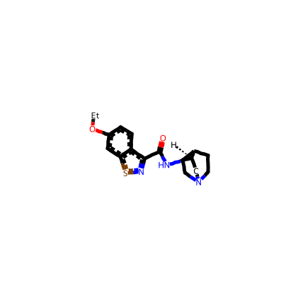 CCOc1ccc2c(C(=O)N[C@@H]3CN4CCC3CC4)nsc2c1